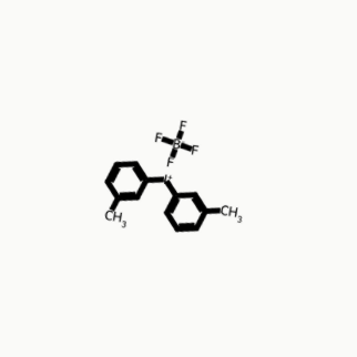 Cc1cccc([I+]c2cccc(C)c2)c1.F[B-](F)(F)F